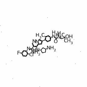 Cc1cc(NC(=O)NCC(C)(C)O)ccc1-c1cc2c(N[C@@H]3CC[C@H](N)C3)c(/C(N)=N/c3cc(F)ccc3Cl)cnn2c1